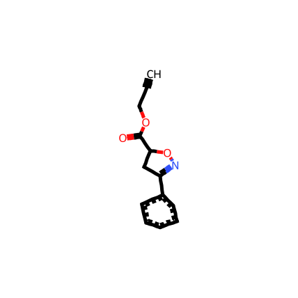 C#CCOC(=O)C1CC(c2ccccc2)=NO1